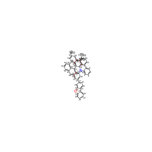 CC(C)(C)c1ccc(-c2ccccc2N(c2cccc(-c3ccc4c(c3)oc3ccccc34)c2)c2ccccc2-c2cccc3cccc(-c4cc(C(C)(C)C)cc(C(C)(C)C)c4)c23)cc1